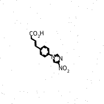 O=C(O)C/C=C/c1ccc(-n2cnc([N+](=O)[O-])c2)cc1